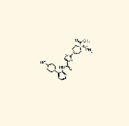 CNC1(C(C)=O)CCN(c2nc(C(=O)Nc3ccccc3N3CCC(O)CC3)cs2)CC1